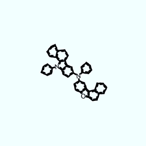 c1ccc(N(c2ccc3oc4ccc5ccccc5c4c3c2)c2ccc3c(c2)c2ccc4ccccc4c2n3-c2ccccc2)cc1